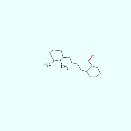 CC1CCCC(CCCCC2CCCCC2C=O)C1C